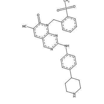 CS(=O)(=O)c1ccccc1Cn1c(=O)c(C#N)cc2cnc(Nc3ccc(C4CCNCC4)cc3)nc21